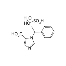 CC(c1ccccc1)n1cncc1C(=O)O.O.O=S(=O)(O)O